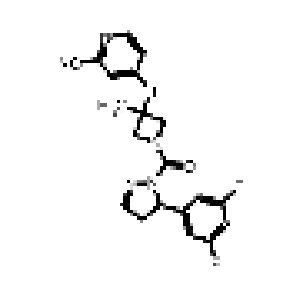 CC1(Oc2ccnc(C#N)c2)CN(C(=O)N2N=CCC2c2cc(F)cc(F)c2)C1